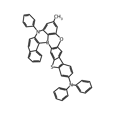 Cc1cc2c3c(c1)N(c1ccccc1)c1ccc4ccccc4c1B3c1cc3sc4cc(N(c5ccccc5)c5ccccc5)ccc4c3cc1O2